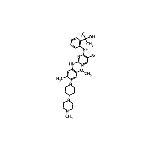 COc1cc(N2CCC(N3CCN(C)CC3)CC2)c(C)cc1Nc1ncc(Br)c(Nc2cnccc2C(C)(C)O)n1